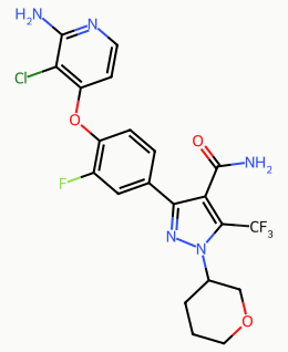 NC(=O)c1c(-c2ccc(Oc3ccnc(N)c3Cl)c(F)c2)nn(C2CCCOC2)c1C(F)(F)F